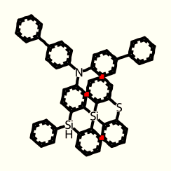 c1ccc(-c2ccc(N(c3ccc(-c4ccccc4)cc3)c3ccc4c(c3)[Si]3(c5ccccc5Sc5ccccc53)c3ccccc3[SiH]4c3ccccc3)cc2)cc1